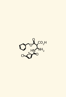 NC(NC(=O)c1ccc(Cl)s1)C(C(=O)O)C(=O)OCc1ccccc1